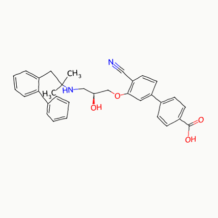 CC(C)(Cc1ccccc1-c1ccccc1)NC[C@H](O)COc1cc(-c2ccc(C(=O)O)cc2)ccc1C#N